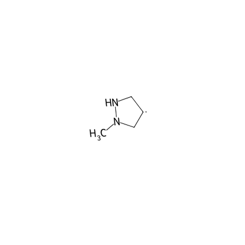 CN1C[CH]CN1